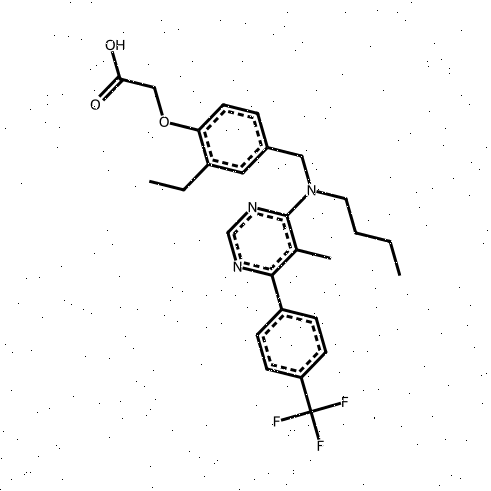 CCCCN(Cc1ccc(OCC(=O)O)c(CC)c1)c1ncnc(-c2ccc(C(F)(F)F)cc2)c1C